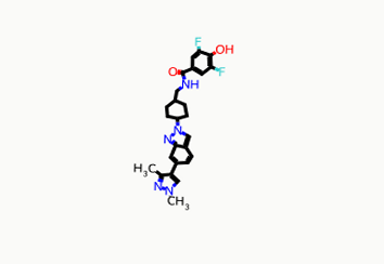 Cc1nn(C)cc1-c1ccc2cn(C3CCC(CNC(=O)c4cc(F)c(O)c(F)c4)CC3)nc2c1